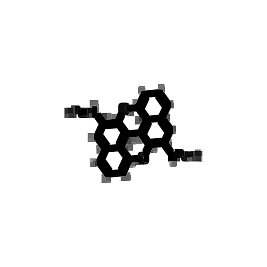 CCCCCc1cc2cccc3oc4c(CCCCC)cc5cccc6oc1c(c23)-c4c56